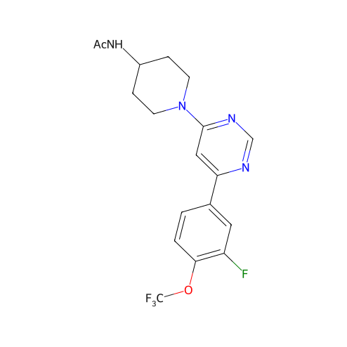 CC(=O)NC1CCN(c2cc(-c3ccc(OC(F)(F)F)c(F)c3)ncn2)CC1